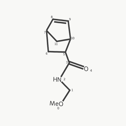 COCNC(=O)C1CC2C=CC1C2